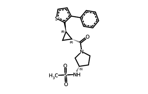 CS(=O)(=O)N[C@H]1CCN(C(=O)[C@@H]2C[C@H]2c2sccc2-c2ccccc2)C1